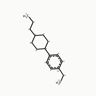 CCCC1CCC(c2ccc(CP)cc2)CC1